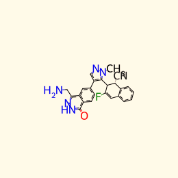 Cn1ncc(-c2ccc3c(=O)[nH]nc(CN)c3c2)c1C1C(F)=Cc2ccccc2[C@H]1C#N